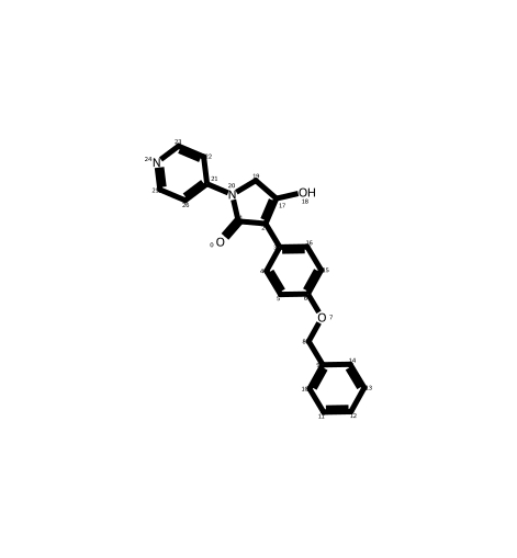 O=C1C(c2ccc(OCc3ccccc3)cc2)=C(O)CN1c1ccncc1